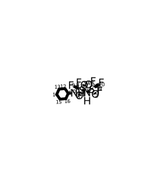 O=S(=O)(NS(=O)(=O)C(F)(F)NC1CCCCC1)C(F)(F)F